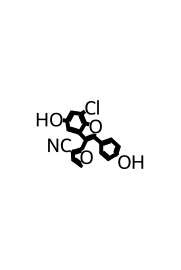 N#Cc1ccoc1-c1c(-c2ccc(O)cc2)oc2c(Cl)cc(O)cc12